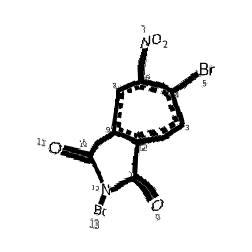 O=C1c2cc(Br)c([N+](=O)[O-])cc2C(=O)N1Br